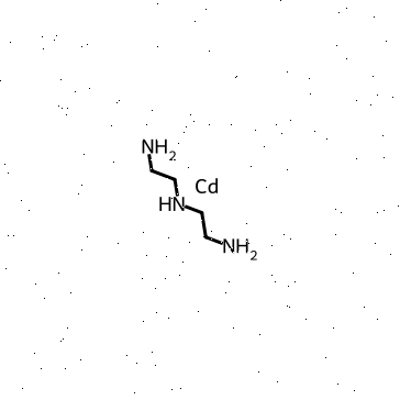 NCCNCCN.[Cd]